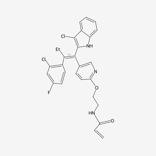 C=CC(=O)NCCOc1ccc(/C(=C(/CC)c2ccc(F)cc2Cl)c2[nH]c3ccccc3c2Cl)cn1